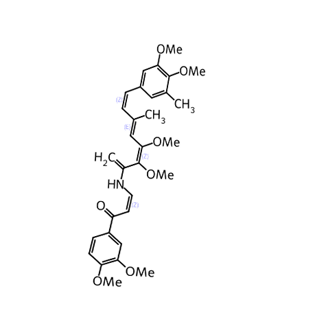 C=C(N/C=C\C(=O)c1ccc(OC)c(OC)c1)\C(OC)=C(/C=C(C)/C=C\c1cc(C)c(OC)c(OC)c1)OC